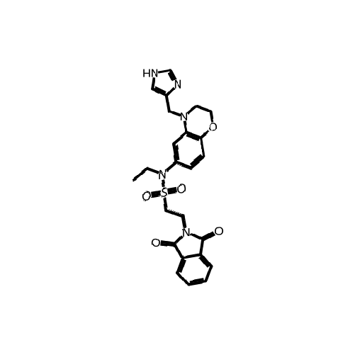 CCN(c1ccc2c(c1)N(Cc1c[nH]cn1)CCO2)S(=O)(=O)CCN1C(=O)c2ccccc2C1=O